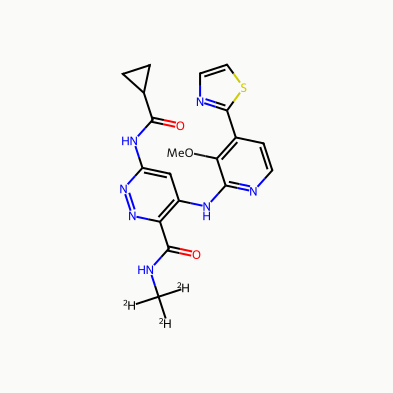 [2H]C([2H])([2H])NC(=O)c1nnc(NC(=O)C2CC2)cc1Nc1nccc(-c2nccs2)c1OC